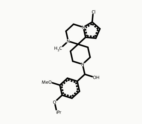 COc1cc(C(O)N2CCC3(CC2)c2ccc(Cl)n2CCN3C)ccc1OC(C)C